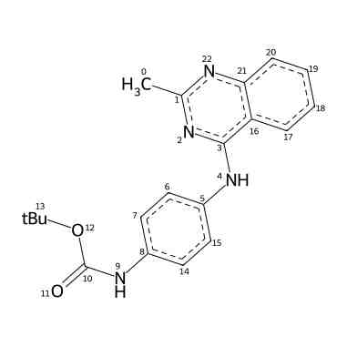 Cc1nc(Nc2ccc(NC(=O)OC(C)(C)C)cc2)c2ccccc2n1